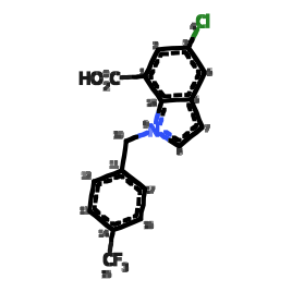 O=C(O)c1cc(Cl)cc2ccn(Cc3ccc(C(F)(F)F)cc3)c12